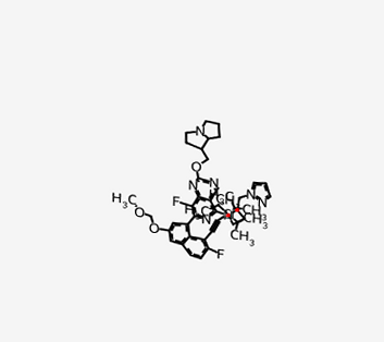 COCOc1cc(-c2nc(N3CC[C@@H]3Cn3cccn3)c3cnc(OCC4CCN5CCCC45)nc3c2F)c2c(C#C[Si](C(C)C)(C(C)C)C(C)C)c(F)ccc2c1